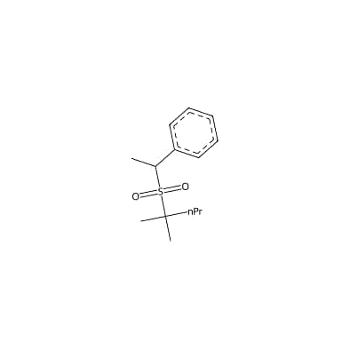 CCCC(C)(C)S(=O)(=O)C(C)c1ccccc1